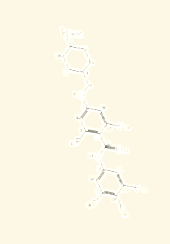 CCCCCCCCCCC1CCC(COc2cc(F)c(C(=O)Oc3cc(F)c(F)c(F)c3)c(F)c2)CC1